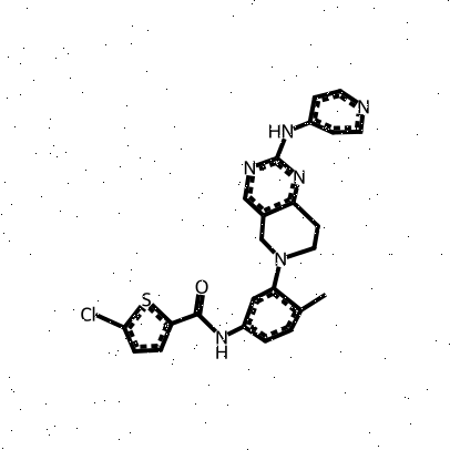 Cc1ccc(NC(=O)c2ccc(Cl)s2)cc1N1CCc2nc(Nc3ccncc3)ncc2C1